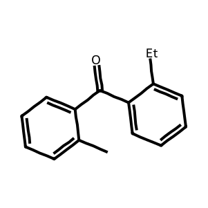 CCc1ccccc1C(=O)c1ccccc1C